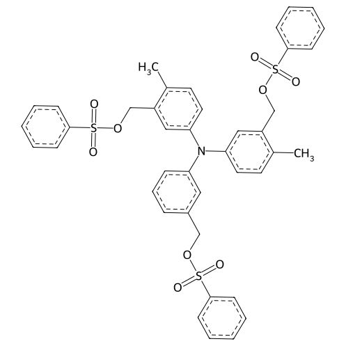 Cc1ccc(N(c2cccc(COS(=O)(=O)c3ccccc3)c2)c2ccc(C)c(COS(=O)(=O)c3ccccc3)c2)cc1COS(=O)(=O)c1ccccc1